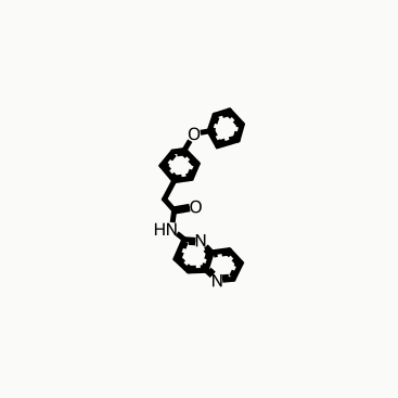 O=C(Cc1ccc(Oc2ccccc2)cc1)Nc1ccc2ncccc2n1